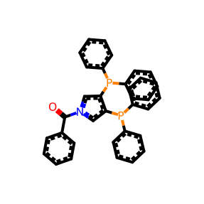 O=C(c1ccccc1)n1cc(P(c2ccccc2)c2ccccc2)c(P(c2ccccc2)c2ccccc2)c1